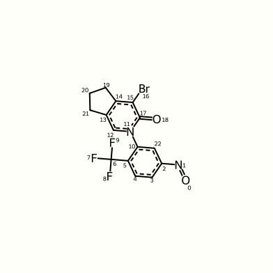 O=Nc1ccc(C(F)(F)F)c(-n2cc3c(c(Br)c2=O)CCC3)c1